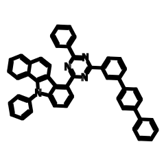 c1ccc(-c2ccc(-c3cccc(-c4nc(-c5ccccc5)nc(-c5cccc6c5c5ccc7ccccc7c5n6-c5ccccc5)n4)c3)cc2)cc1